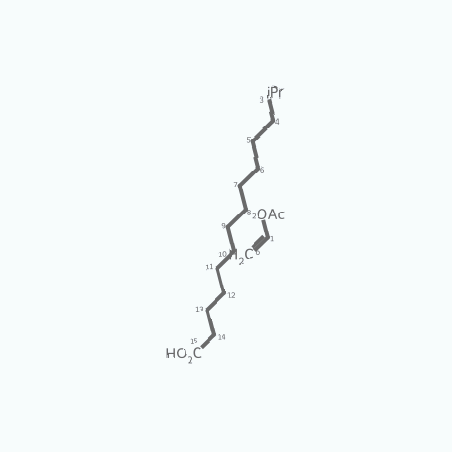 C=COC(C)=O.CC(C)CCCCCCCCCCCC(=O)O